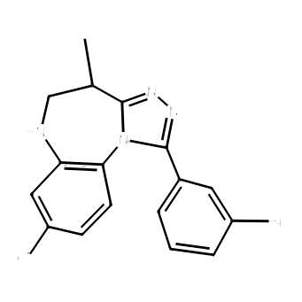 CC1CNc2cc(Cl)ccc2-n2c(-c3cccc(Br)c3)nnc21